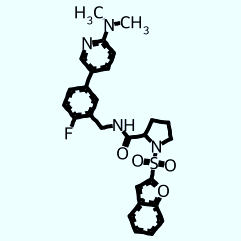 CN(C)c1ccc(-c2ccc(F)c(CNC(=O)C3CCCN3S(=O)(=O)c3cc4ccccc4o3)c2)cn1